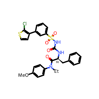 CCN(C(=O)[C@H](Cc1ccccc1)NC(=O)NS(=O)(=O)c1cccc(-c2ccsc2Cl)c1)c1ccc(OC)cc1